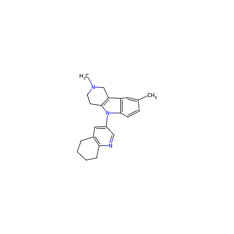 Cc1ccc2c(c1)c1c(n2-c2cnc3c(c2)CCCC3)CCN(C)C1